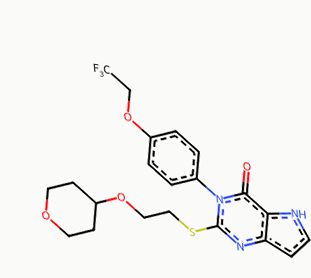 O=c1c2[nH]ccc2nc(SCCOC2CCOCC2)n1-c1ccc(OCC(F)(F)F)cc1